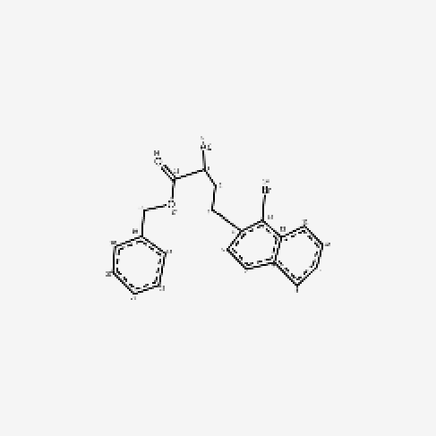 CC(=O)C(CCc1ccc2ccccc2c1Br)C(=O)OCc1ccccc1